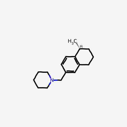 C[C@@H]1CCCc2cc(CN3CCCCC3)ccc21